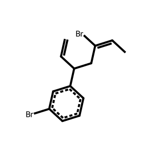 C=CC(C/C(Br)=C\C)c1cccc(Br)c1